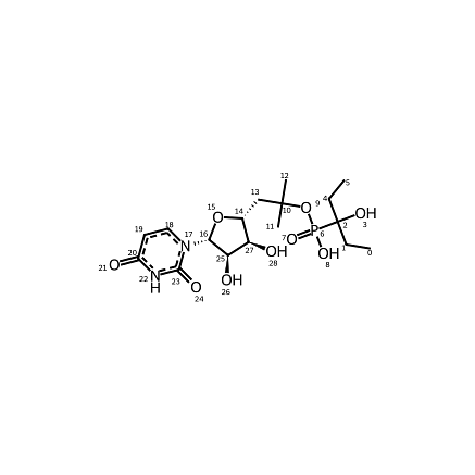 CCC(O)(CC)P(=O)(O)OC(C)(C)C[C@H]1O[C@@H](n2ccc(=O)[nH]c2=O)[C@H](O)[C@@H]1O